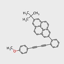 COc1ccc(C#CC#Cc2ccccc2-c2cc3ccc4cc(C(C)(C)C)cc5ccc(c2)c3c45)cc1